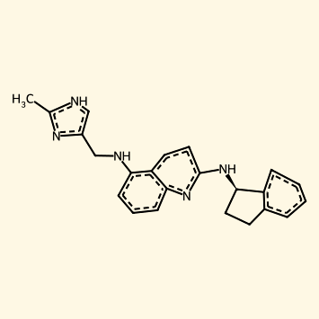 Cc1nc(CNc2cccc3nc(N[C@@H]4CCc5ccccc54)ccc23)c[nH]1